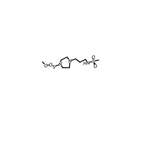 COOSN1CCN(CCCNS(C)(=O)=O)CC1